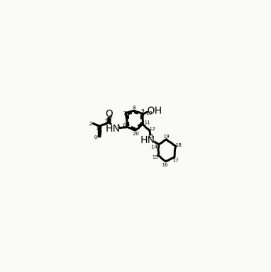 C=C(C)C(=O)Nc1ccc(O)c(CNC2CCCCC2)c1